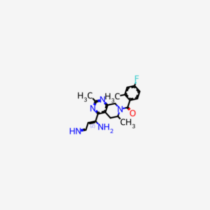 Cc1nc2c(c(/C(N)=C/C=N)n1)CC(C)N(C(=O)c1ccc(F)cc1C)C2